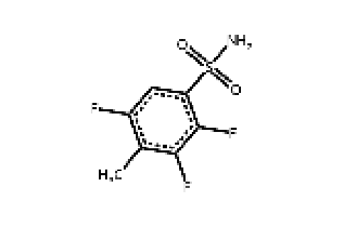 Cc1c(F)cc(S(N)(=O)=O)c(F)c1F